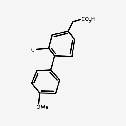 COc1ccc(-c2ccc(CC(=O)O)cc2Cl)cc1